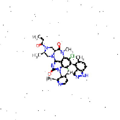 C=CC(=O)N1CC2C(=O)N(C)c3c(Cl)c(-c4c(C)ccc5[nH]ncc45)c(F)c4c3c(nc(=O)n4-c3c(C)ccnc3C(C)C)N2CC1C